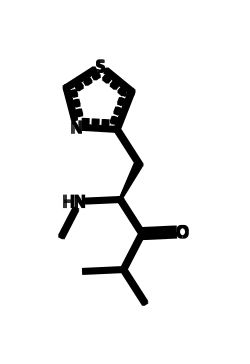 CN[C@@H](Cc1cscn1)C(=O)C(C)C